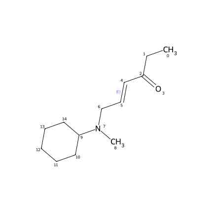 CCC(=O)/C=C/CN(C)C1CCCCC1